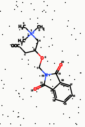 C[N+](C)(C)CC(CC(=O)[O-])OCN1C(=O)c2ccccc2C1=O